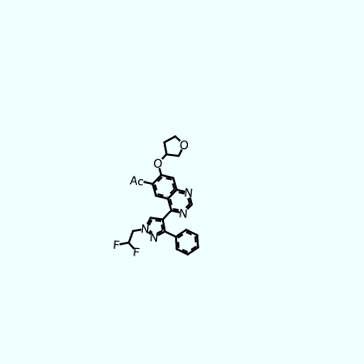 CC(=O)c1cc2c(-c3cn(CC(F)F)nc3-c3ccccc3)ncnc2cc1OC1CCOC1